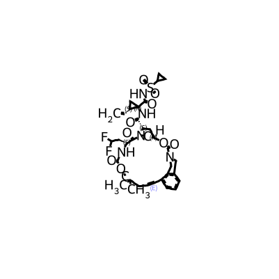 C=C[C@@H]1C[C@]1(NC(=O)[C@@H]1C[C@@H]2CN1C(=O)[C@H](CC(F)F)NC(=O)OCC(C)(C)C/C=C/c1cccc3c1CN(C3)C(=O)O2)C(=O)NS(=O)(=O)C1CC1